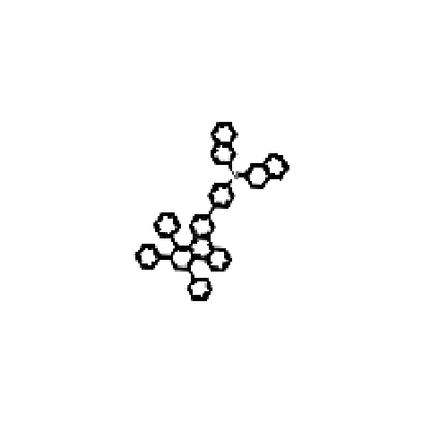 C1=C(N(c2ccc(-c3ccc4c5c(c6ccccc6c4c3)=C(c3ccccc3)CC(c3ccccc3)C=5c3ccccc3)cc2)c2ccc3ccccc3c2)CCc2ccccc21